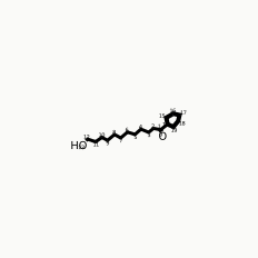 O=C(CCCCCCCCCCCO)c1ccccc1